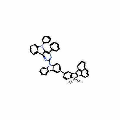 CC1(C)C2=C(c3cc(-c4ccc5c(c4)c4ccccc4n5-c4nc(-c5ccccc5)c5c(n4)c4ccccc4n5-c4ccccc4)ccc31)c1cccc3cccc2c13